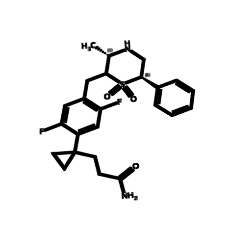 C[C@@H]1NC[C@@H](c2ccccc2)S(=O)(=O)C1Cc1cc(F)c(C2(CCC(N)=O)CC2)cc1F